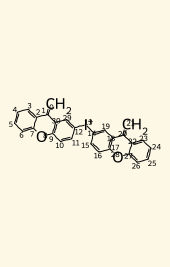 C=C1c2ccccc2Oc2ccc([I+]c3ccc4c(c3)C(=C)c3ccccc3O4)cc21